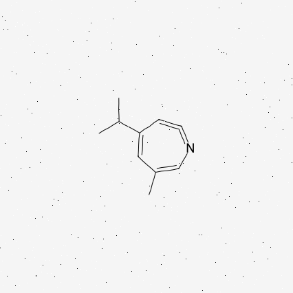 CC1=CN=C=CC(C(C)C)=C1